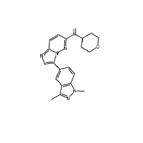 Cc1nn(C)c2ccc(-c3cnc4ccc(NC5CCOCC5)nn34)cc12